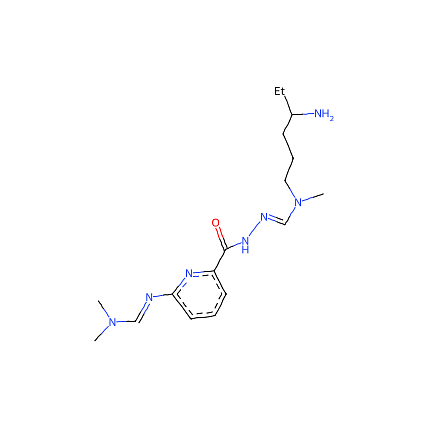 CCC(N)CCCN(C)/C=N/NC(=O)c1cccc(/N=C/N(C)C)n1